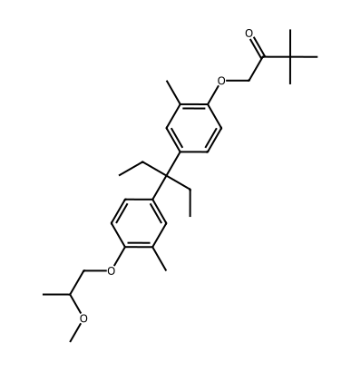 CCC(CC)(c1ccc(OCC(=O)C(C)(C)C)c(C)c1)c1ccc(OCC(C)OC)c(C)c1